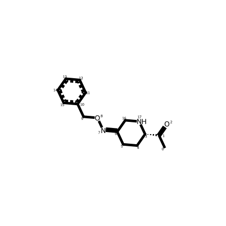 CC(=O)[C@@H]1CCC(=NOCc2ccccc2)CN1